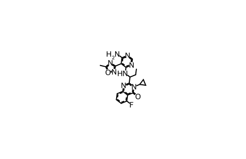 CCC(Nc1ncnc(N)c1-c1noc(C)n1)c1nc2cccc(F)c2c(=O)n1C1CC1